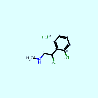 CNCC(Cl)c1ccccc1Cl.Cl